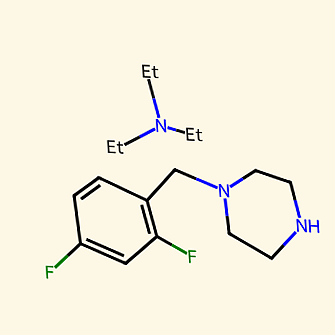 CCN(CC)CC.Fc1ccc(CN2CCNCC2)c(F)c1